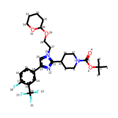 CC(C)(C)OC(=O)N1CCC(c2nc(-c3ccc(F)c(C(F)(F)F)c3)cn2CCOC2CCCCO2)CC1